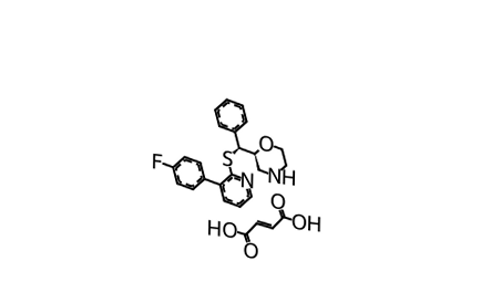 Fc1ccc(-c2cccnc2S[C@@H](c2ccccc2)[C@@H]2CNCCO2)cc1.O=C(O)/C=C/C(=O)O